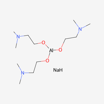 CN(C)CC[O][Al]([O]CCN(C)C)[O]CCN(C)C.[NaH]